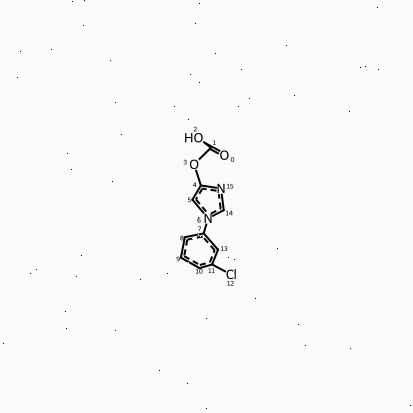 O=C(O)Oc1cn(-c2cccc(Cl)c2)cn1